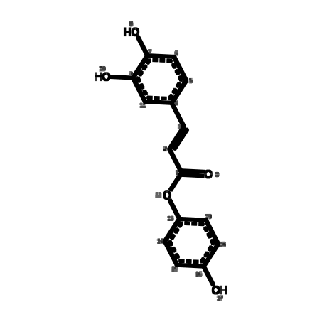 O=C(/C=C/c1ccc(O)c(O)c1)Oc1ccc(O)cc1